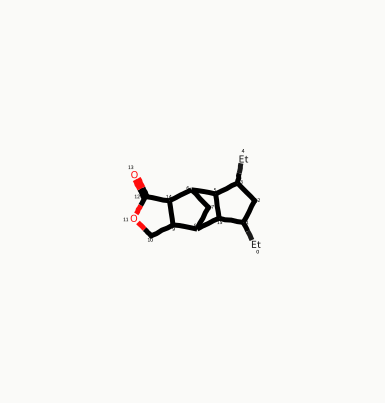 CCC1CC(CC)C2C3CC(C4COC(=O)C43)C12